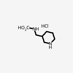 Cl.O=C(O)NCC1CCCNC1